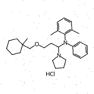 Cc1cccc(C)c1N(c1ccccc1)C(CCOCC1(C)CCCCC1)N1CCCC1.Cl